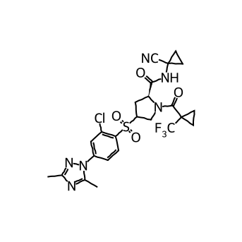 Cc1nc(C)n(-c2ccc(S(=O)(=O)C3C[C@@H](C(=O)NC4(C#N)CC4)N(C(=O)C4(C(F)(F)F)CC4)C3)c(Cl)c2)n1